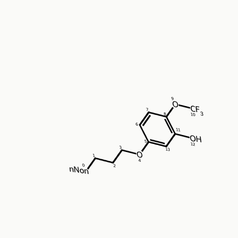 CCCCCCCCCCCCOc1ccc(OC(F)(F)F)c(O)c1